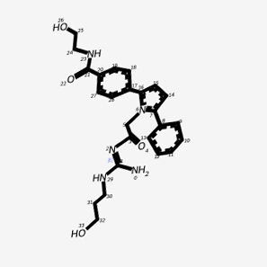 N/C(=N\C(=O)Cn1c(-c2ccccc2)ccc1-c1ccc(C(=O)NCCO)cc1)NCCCO